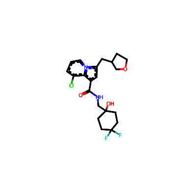 O=C(NCC1(O)CCC(F)(F)CC1)c1cc(CC2CCOC2)n2cccc(Cl)c12